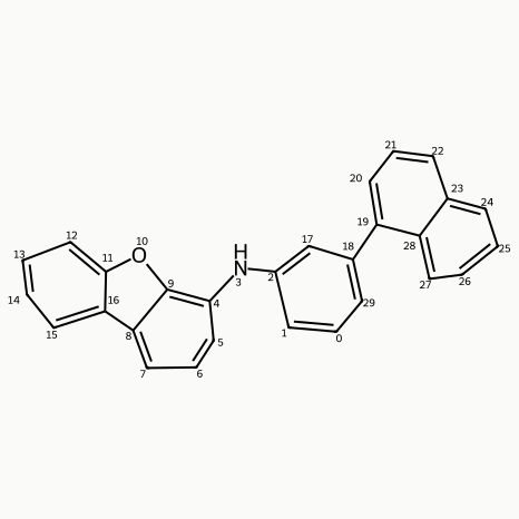 c1cc(Nc2cccc3c2oc2ccccc23)cc(-c2cccc3ccccc23)c1